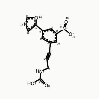 O=C(O)NCC#Cc1cc(-c2cnco2)cc([N+](=O)[O-])c1